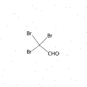 O=[C]C(Br)(Br)Br